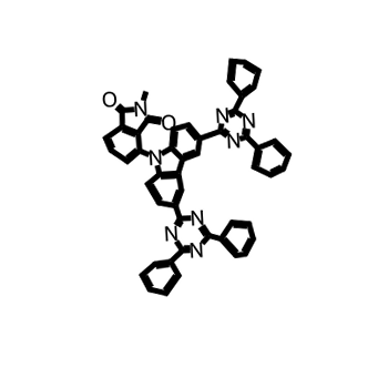 CN1C(=O)c2cccc(-n3c4ccc(-c5nc(-c6ccccc6)nc(-c6ccccc6)n5)cc4c4cc(-c5nc(-c6ccccc6)nc(-c6ccccc6)n5)ccc43)c2C1=O